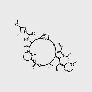 C=C/C(=C(\N=C/C)[C@H](C)OC)c1c2c3cc(ccc3n1CC)-c1csc(n1)C[C@H](NC(=O)N1C[C@@H](OC)[C@H]1C)C(=O)N1CCC[C@H](N1)C(=O)OCC(C)(C)C2